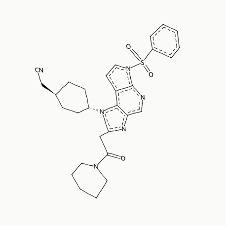 N#CC[C@H]1CC[C@H](n2c(CC(=O)N3CCCCC3)nc3cnc4c(ccn4S(=O)(=O)c4ccccc4)c32)CC1